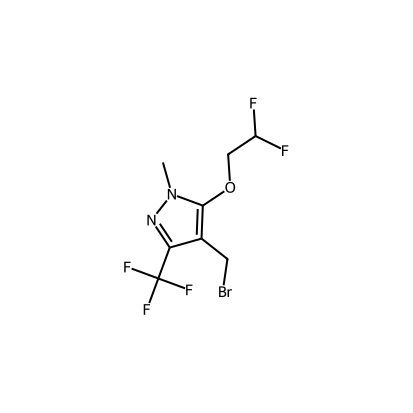 Cn1nc(C(F)(F)F)c(CBr)c1OCC(F)F